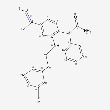 C/C=C(\C)c1ccc(C(C(N)=O)c2cccnc2)c(NCCc2cccc(F)c2)n1